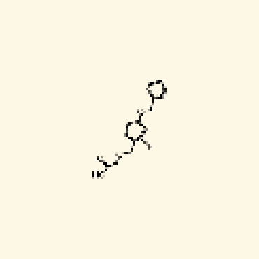 O=C(O)COCc1ccc(OCc2ccccc2)cc1F